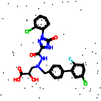 O=C(NN(Cc1ccc(-c2cc(Cl)ccc2F)cc1)CC(O)C(=O)O)c1nn(-c2ccccc2Cl)c(=O)[nH]1